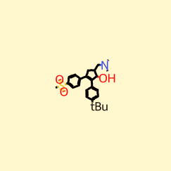 CN(C)CC1CC(c2ccc(S(C)(=O)=O)cc2)=C(c2ccc(C(C)(C)C)cc2)C1O